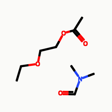 CCOCCOC(C)=O.CN(C)C=O